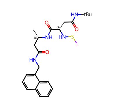 C[C@@H](CC(=O)NCc1cccc2ccccc12)NC(=O)[C@H](CC(=O)NC(C)(C)C)NSI